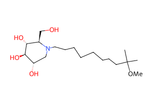 COC(C)(C)CCCCCCCCN1C[C@H](O)[C@@H](O)[C@H](O)[C@H]1CO